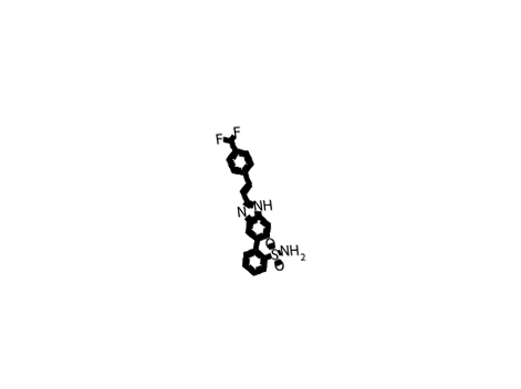 NS(=O)(=O)c1ccccc1-c1ccc2[nH]c(C=Cc3ccc(C(F)F)cc3)nc2c1